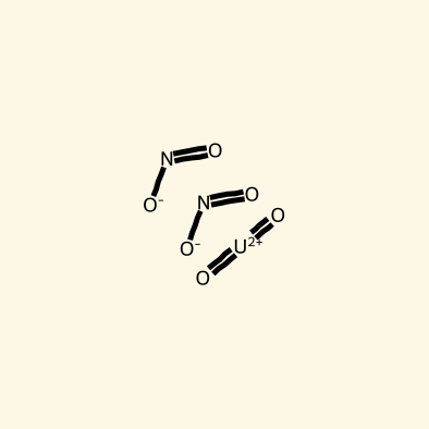 O=N[O-].O=N[O-].[O]=[U+2]=[O]